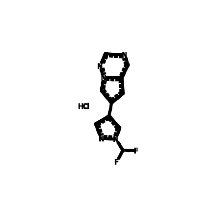 Cl.FC(F)n1cc(-c2cc3cncnn3c2)cn1